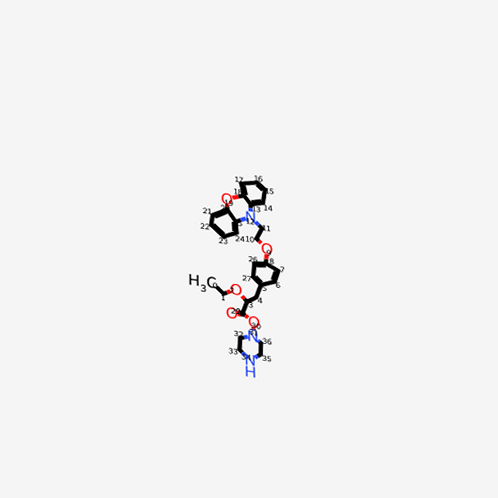 CCOC(Cc1ccc(OCCN2c3ccccc3Oc3ccccc32)cc1)C(=O)ON1CCNCC1